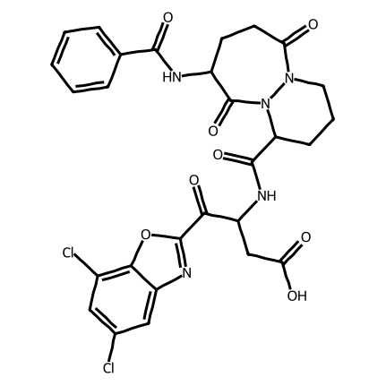 O=C(O)CC(NC(=O)C1CCCN2C(=O)CCC(NC(=O)c3ccccc3)C(=O)N12)C(=O)c1nc2cc(Cl)cc(Cl)c2o1